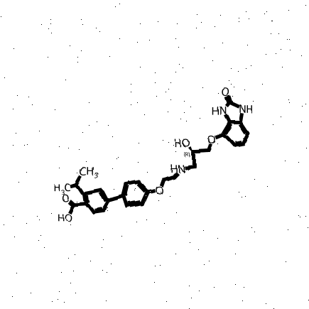 CC(C)c1cc(-c2ccc(OCCNC[C@@H](O)COc3cccc4[nH]c(=O)[nH]c34)cc2)ccc1C(=O)O